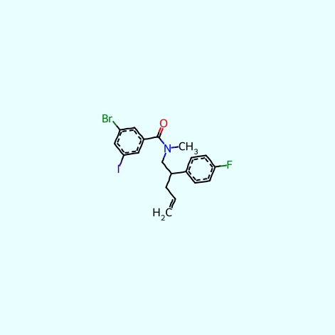 C=CCC(CN(C)C(=O)c1cc(Br)cc(I)c1)c1ccc(F)cc1